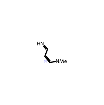 CN/C=C\C=N